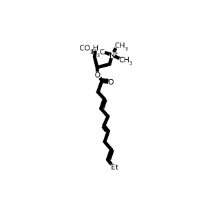 CC/C=C/C/C=C/C/C=C/CC(=O)OC(CC(=O)O)C[N+](C)(C)C